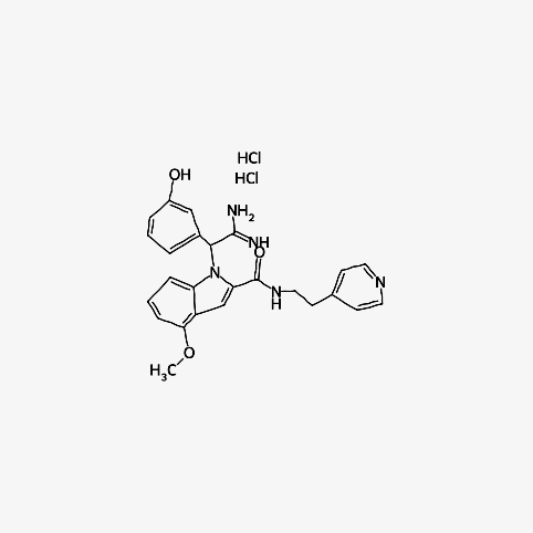 COc1cccc2c1cc(C(=O)NCCc1ccncc1)n2C(C(=N)N)c1cccc(O)c1.Cl.Cl